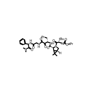 CC(C)C[C@H](NC(=O)[C@@H]1C2[C@H](CN1C(=O)[C@@H](NC(=O)OC(C)C)C(C)(C)C)C2(C)C)C(=O)C(=O)NCC(=O)N[C@H](C(=O)N(C)C)c1ccccc1